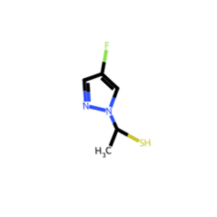 CC(S)n1cc(F)cn1